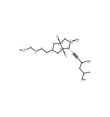 CCCCC(C)CC(O)C#C[C@@H]1[C@@H]2CC(CCOCC(=O)O)C[C@@H]2C[C@H]1O